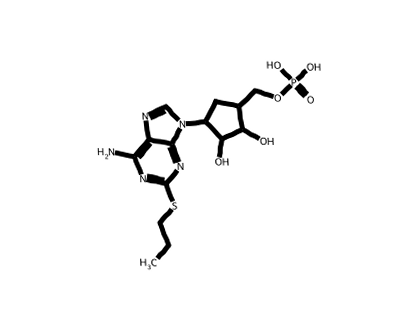 CCCSc1nc(N)c2ncn(C3CC(COP(=O)(O)O)C(O)C3O)c2n1